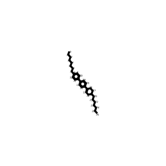 CCCCCCCCc1ccc(-c2ccc(C3=CCC(CCCCCCC)CC3)cc2)cc1